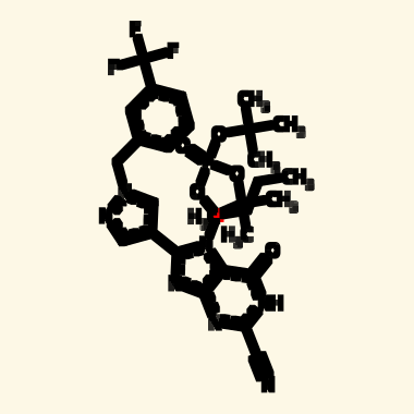 CCCC(OP(=O)(OC(C)(C)C)OC(C)(C)C)n1c(-c2cnn(Cc3cccc(C(F)(F)F)c3)c2)nc2nc(C#N)[nH]c(=O)c21